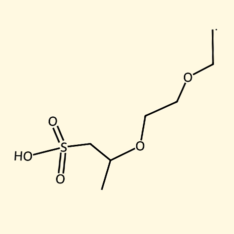 [CH2]COCCOC(C)CS(=O)(=O)O